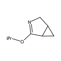 CC(C)OC1=NCC2CC12